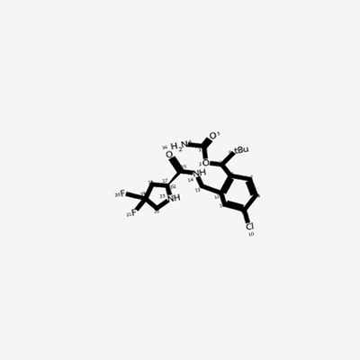 CC(C)(C)C(OC(N)=O)c1ccc(Cl)cc1CNC(=O)[C@@H]1CC(F)(F)CN1